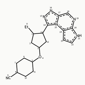 CCC1CC(OC2CCC(C#N)CC2)CC1c1nnc2cnc3[nH]ccc3n12